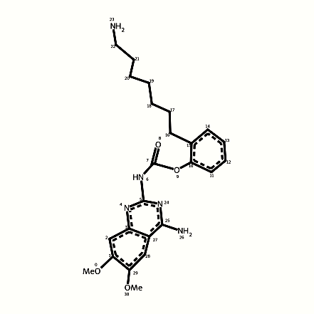 COc1cc2nc(NC(=O)Oc3ccccc3CCCCCCCN)nc(N)c2cc1OC